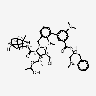 COc1c(CN2O[C@@H](CO)[C@@H]([C@H](C)OC(C)O)[C@H]2C(=O)N[C@H]2C[C@H]3C[C@@H]([C@@H]2C)C3(C)C)cccc1-c1cc(C(=O)N[C@@H](Cc2ccccc2)CN(C)C)cc(N(C)C)c1